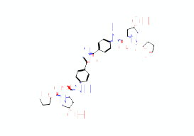 O=C(Nc1ccc(-c2cnc(-c3ccc(NC(=O)[C@@H]4C[C@@H](O)CN4C(=O)[C@H]4CCCO4)cc3)o2)cc1)[C@@H]1C[C@@H](O)CN1C(=O)[C@H]1CCCO1